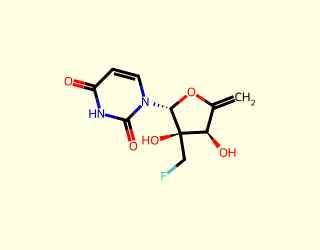 C=C1O[C@@H](n2ccc(=O)[nH]c2=O)[C@@](O)(CF)[C@@H]1O